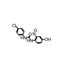 O=Nc1cc(O)ccc1NC(=O)Nc1ccc(Cl)cc1